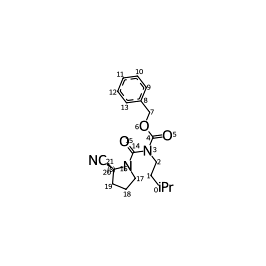 CC(C)CCN(C(=O)OCc1ccccc1)C(=O)N1CCC[C@H]1C#N